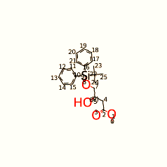 COC(=O)C[C@@H](O)CO[Si](c1ccccc1)(c1ccccc1)C(C)(C)C